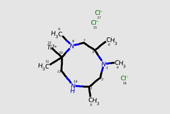 CC1CN(C)C(C)CN(C)[C](C)([Ti+3])CN1.[Cl-].[Cl-].[Cl-]